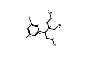 CC(C)(C)CN(CCO)C(CCO)c1cc(F)cc(F)c1